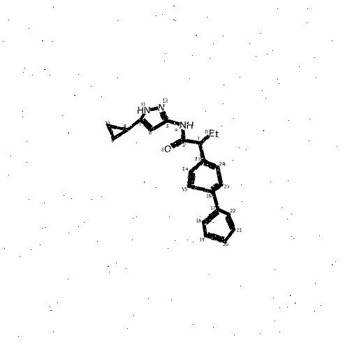 CCC(C(=O)Nc1cc(C2CC2)[nH]n1)c1ccc(-c2ccccc2)cc1